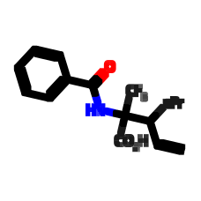 C=CC(CCC)C(NC(=O)c1ccccc1)(C(=O)O)C(F)(F)F